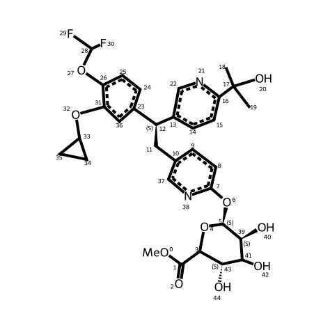 COC(=O)C1O[C@@H](Oc2ccc(C[C@H](c3ccc(C(C)(C)O)nc3)c3ccc(OC(F)F)c(OC4CC4)c3)cn2)[C@@H](O)C(O)[C@@H]1O